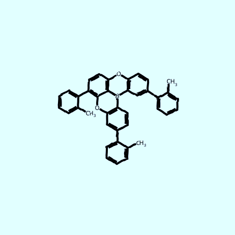 Cc1ccccc1-c1ccc2c(c1)Oc1c(-c3ccccc3C)ccc3c1B2c1cc(-c2ccccc2C)ccc1O3